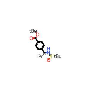 CC(C)[C@@H](N[S@+]([O-])C(C)(C)C)c1ccc(C(=O)OC(C)(C)C)cc1